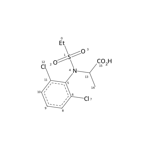 CCS(=O)(=O)N(c1c(Cl)cccc1Cl)C(C)C(=O)O